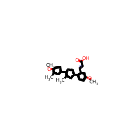 COc1ccc(-c2ccc(-c3ccc(OC)c(C)c3)c(C)c2)c(/C=C/C(=O)O)c1